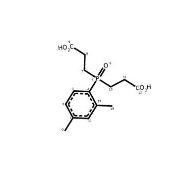 Cc1ccc(P(=O)(CCC(=O)O)CCC(=O)O)c(C)c1